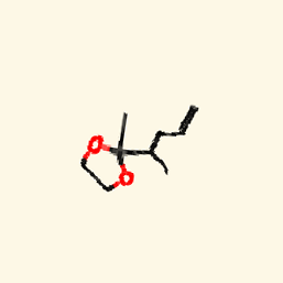 C=CCC(C)C1(C)OCCO1